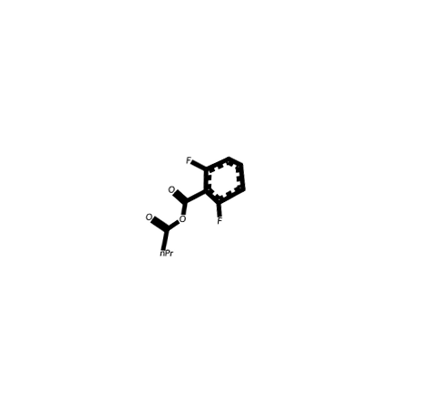 CCCC(=O)OC(=O)c1c(F)cccc1F